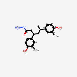 CC(CC(CC(=O)NN)c1ccc(O)c(C(C)(C)C)c1)c1ccc(O)c(C(C)(C)C)c1